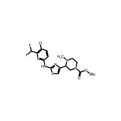 CN1CCN(C(=O)OC(C)(C)C)CC1c1csc(Nc2ccc(Cl)c(C(F)F)n2)n1